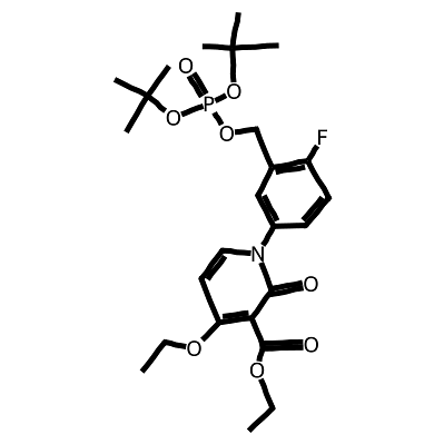 CCOC(=O)c1c(OCC)ccn(-c2ccc(F)c(COP(=O)(OC(C)(C)C)OC(C)(C)C)c2)c1=O